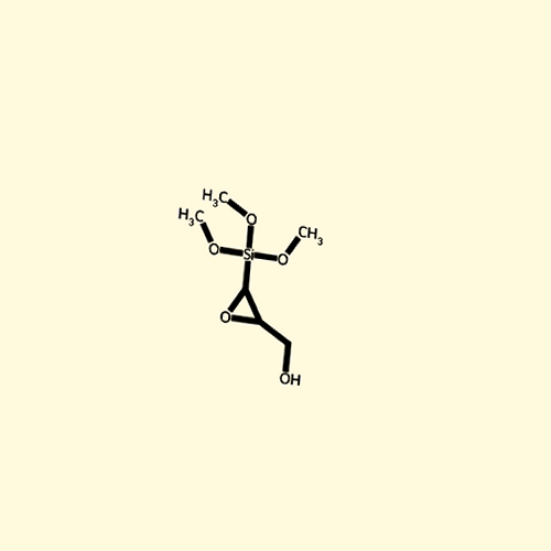 CO[Si](OC)(OC)C1OC1CO